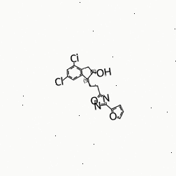 O[C@@H]1Cc2c(Cl)cc(Cl)cc2[C@@H]1CCc1nc(-c2ccco2)no1